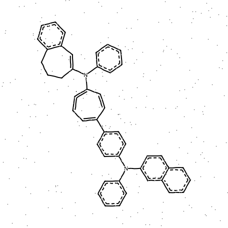 C1=CC=C(c2ccc(N(c3ccccc3)c3ccc4ccccc4c3)cc2)C=CC=1N(C1=Cc2ccccc2CCC1)c1ccccc1